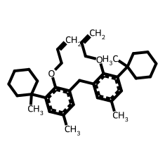 C=CCOc1c(Cc2cc(C)cc(C3(C)CCCCC3)c2OCC=C)cc(C)cc1C1(C)CCCCC1